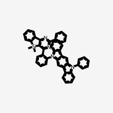 C[Si]1(C)c2ccccc2-c2nc(-c3ccccc3)nc(-c3ccccc3-n3c4ccccc4c4cc5c(cc43)c3ccccc3n5-c3ccccc3)c21